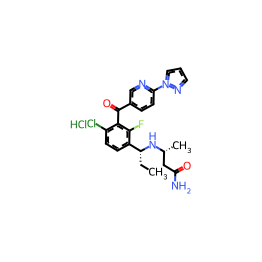 CC[C@@H](N[C@H](C)CC(N)=O)c1ccc(Cl)c(C(=O)c2ccc(-n3cccn3)nc2)c1F.Cl